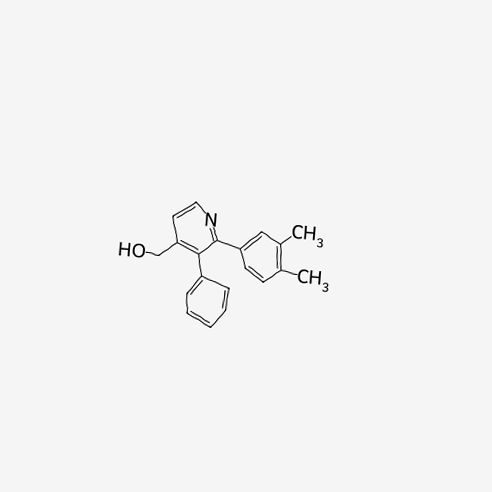 Cc1ccc(-c2nccc(CO)c2-c2ccccc2)cc1C